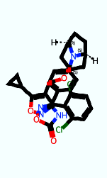 O=c1[nH]c(-c2ccc(N3[C@@H]4CC[C@H]3C[C@H](OCc3c(-c5c(Cl)cccc5Cl)noc3C3CC3)C4)cc2)no1